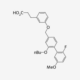 CCCCOc1cc(COc2cccc(CCC(=O)O)c2)ccc1-c1cc(OC)ccc1F